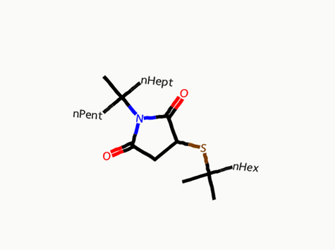 CCCCCCCC(C)(CCCCC)N1C(=O)CC(SC(C)(C)CCCCCC)C1=O